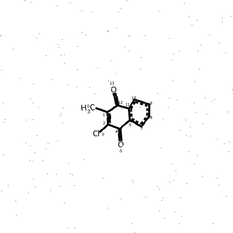 CC1=C(Cl)C(=O)c2ccccc2C1=O